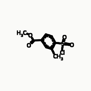 COC(=O)c1ccc(S(=O)(=O)Cl)c(C)c1